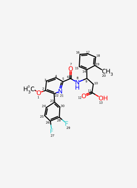 COc1ccc(C(=O)NC(CC(=O)O)c2ccccc2C)nc1-c1ccc(F)c(F)c1